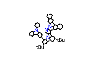 CC(C)(C)c1cc(-c2ccc3c(c2)c2ccccc2n3-c2ccccc2)c2c(c1)c1cc(C(C)(C)C)cc3c4c5c6cc7ccccc7c7c8cc9ccccc9cc8n(c5ncc4n2c13)c67